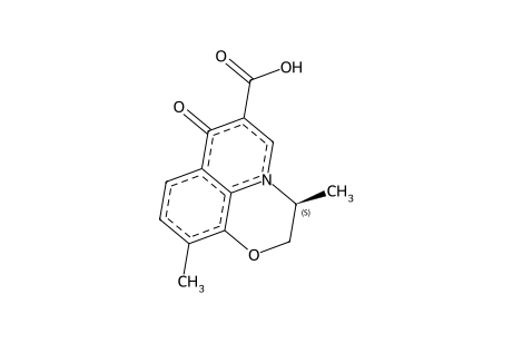 Cc1ccc2c(=O)c(C(=O)O)cn3c2c1OC[C@@H]3C